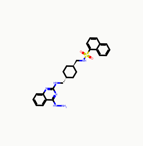 NNc1nc(NC[C@H]2CC[C@H](CNS(=O)(=O)c3cccc4ccccc34)CC2)nc2ccccc12